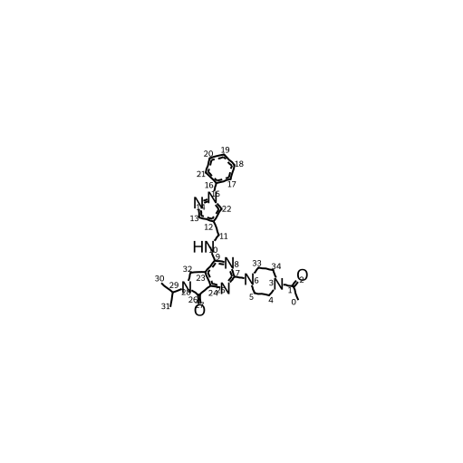 CC(=O)N1CCN(c2nc(NCc3cnn(-c4ccccc4)c3)c3c(n2)C(=O)N(C(C)C)C3)CC1